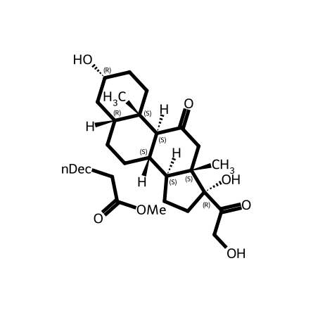 CCCCCCCCCCCC(=O)OC.C[C@]12CC[C@@H](O)C[C@H]1CC[C@@H]1[C@@H]2C(=O)C[C@@]2(C)[C@H]1CC[C@]2(O)C(=O)CO